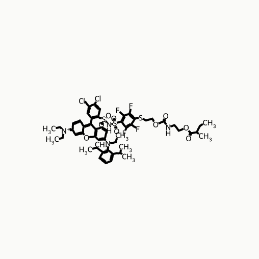 CCC(C)C(=O)OCCNC(=O)OCCSc1c(F)c(F)c(S(=O)(=O)NS(=O)(=O)c2cc(Cl)c(Cl)cc2-c2c3ccc(=[N+](CC)CC)cc-3oc3cc(N(CC)c4c(C(C)C)cccc4C(C)C)ccc23)c(F)c1F